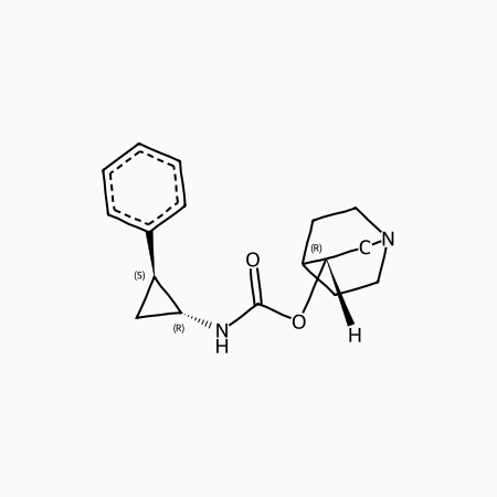 O=C(N[C@@H]1C[C@H]1c1ccccc1)O[C@H]1CN2CCC1CC2